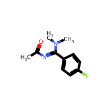 CC(=O)N=C(c1ccc(F)cc1)N(C)C